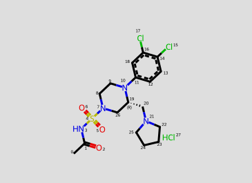 CC(=O)NS(=O)(=O)N1CCN(c2ccc(Cl)c(Cl)c2)[C@H](CN2CCCC2)C1.Cl